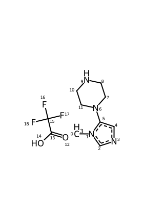 Cn1cncc1N1CCNCC1.O=C(O)C(F)(F)F